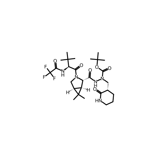 CC(C)(C)OC(=O)N(C[C@@H]1CCCNC1=O)NC(=O)[C@@H]1[C@@H]2[C@H](CN1C(=O)[C@@H](NC(=O)C(F)(F)F)C(C)(C)C)C2(C)C